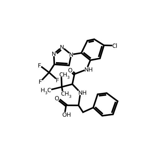 CC(C)(C)C(NC(Cc1ccccc1)C(=O)O)C(=O)Nc1cc(Cl)ccc1-n1cc(C(F)(F)F)nn1